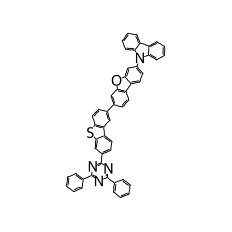 c1ccc(-c2nc(-c3ccccc3)nc(-c3ccc4c(c3)sc3ccc(-c5ccc6c(c5)oc5cc(-n7c8ccccc8c8ccccc87)ccc56)cc34)n2)cc1